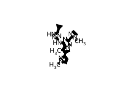 Cc1c(-c2ccn(C)n2)cn2nc(-c3nccn3C)nc(Nc3n[nH]c(C4CC4)n3)c12